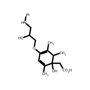 CC1=CC(OCC(O)CNC(C)C)=C(C)C(C)C1(O)CC(=O)O